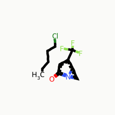 CCCCCCl.O=c1cc(C(F)(F)F)c2cn1-2